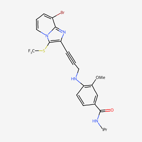 COc1cc(C(=O)NC(C)C)ccc1NCC#Cc1nc2c(Br)cccn2c1SC(F)(F)F